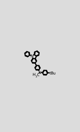 CN(c1ccc(-c2ccc3c(c2)c2ccccc2n3-c2ccccc2)cc1)c1ccc(C(C)(C)C)cc1